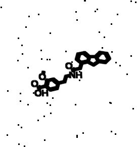 COc1cc(CCNC(=O)Cc2cccc3c2Cc2ccccc2-3)ccc1C(=O)O